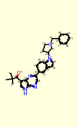 CC(C)(C)C(=O)c1c[nH]c2ncc(-c3ccc4c(ccn4C4CCN(Cc5ccccc5)C4)c3)nc12